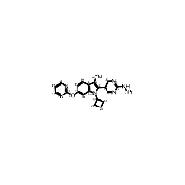 CC(C)Nc1ncc(-c2c(C#N)c3ccc(Oc4ncccn4)cc3n2C2CCC2)cn1